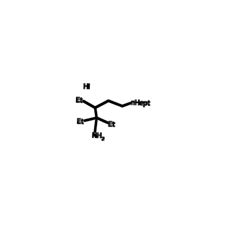 CCCCCCCCCC(CC)C(N)(CC)CC.I